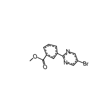 COC(=O)c1cccc(-c2ncc(Br)cn2)c1